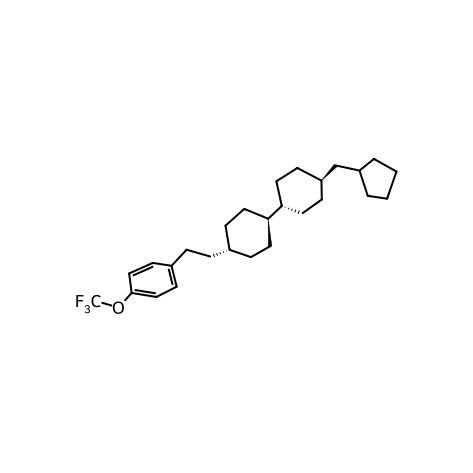 FC(F)(F)Oc1ccc(CC[C@H]2CC[C@H]([C@H]3CC[C@H](CC4CCCC4)CC3)CC2)cc1